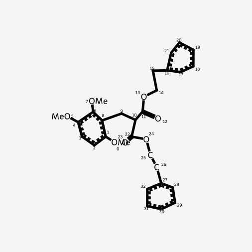 COc1ccc(OC)c(OC)c1CC(C(=O)OCCc1ccccc1)C(=O)OCCc1ccccc1